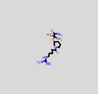 CC(C)(OC1CCCN(C(=O)[CH]CCCNC(=N)N)C1)C(N)=O